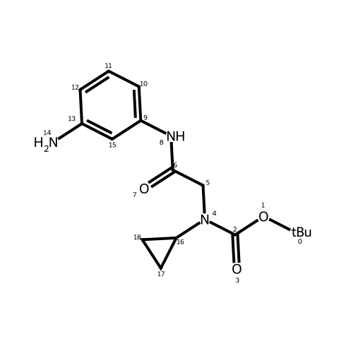 CC(C)(C)OC(=O)N(CC(=O)Nc1cccc(N)c1)C1CC1